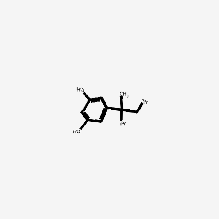 CC(C)CC(C)(c1cc(O)cc(O)c1)C(C)C